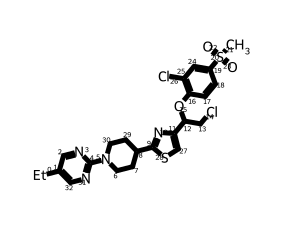 CCc1cnc(N2CCC(c3nc(C(CCl)Oc4ccc(S(C)(=O)=O)cc4Cl)cs3)CC2)nc1